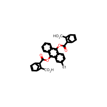 CCc1ccc2c(OC(=O)C3C4C=CC(C4)C3C(=O)O)c3ccccc3c(OC(=O)C3C4C=CC(C4)C3C(=O)O)c2c1